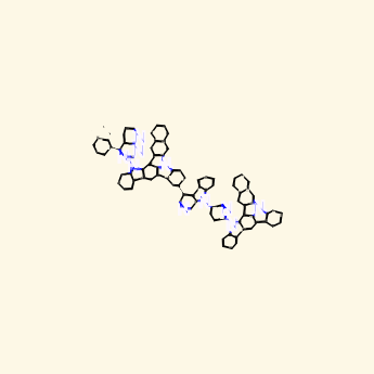 N#Cc1cccc(-c2nc(-n3c4ccccc4c4cc5c6cc(-c7cncc8c7c7ccccc7n8-c7ccc(-n8c9ccccc9c9cc%10c%11ccccc%11n%11c%12cc%13ccccc%13cc%12c(c98)c%10%11)nc7)ccc6n6c7cc8ccccc8cc7c(c43)c56)nc3ncccc23)c1